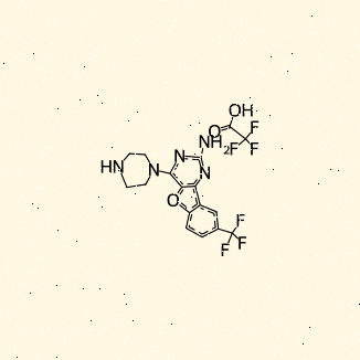 Nc1nc(N2CCNCC2)c2oc3ccc(C(F)(F)F)cc3c2n1.O=C(O)C(F)(F)F